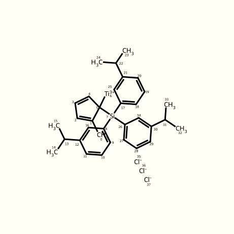 CC1=CC=C[C]1([Ti+3])[Si](c1cccc(C(C)C)c1)(c1cccc(C(C)C)c1)c1cccc(C(C)C)c1.[Cl-].[Cl-].[Cl-]